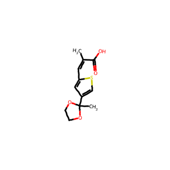 CC(=Cc1cc(C2(C)OCCO2)cs1)C(=O)O